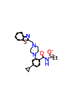 CC[S+]([O-])NC(=O)c1ccc(C2CC2)cc1N1CCN(Cc2nc3ccccc3s2)CC1